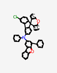 Clc1ccc2c(c1)-c1cc(N(c3ccccc3)c3cc(-c4ccccc4)c4oc5ccccc5c4c3)ccc1C21c2ccccc2Oc2ccccc21